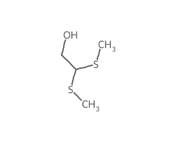 CSC(CO)SC